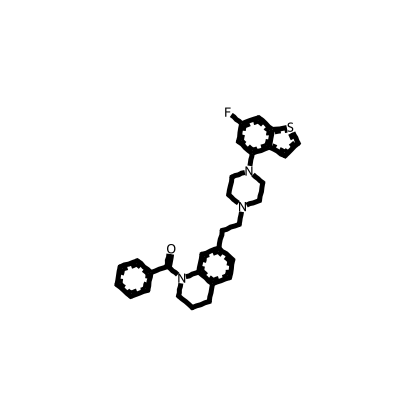 O=C(c1ccccc1)N1CCCc2ccc(CCN3CCN(c4cc(F)cc5sccc45)CC3)cc21